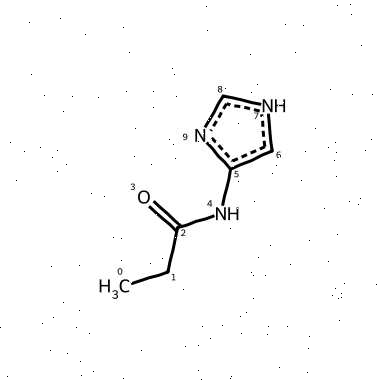 CCC(=O)Nc1c[nH]cn1